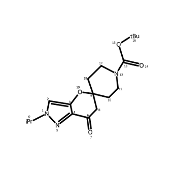 CC(C)n1cc2c(n1)C(=O)CC1(CCN(C(=O)OC(C)(C)C)CC1)O2